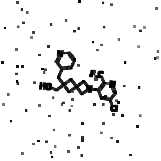 OCC1(Cc2cccnc2)CC2(CN(c3cc(Cl)cnc3C(F)(F)F)C2)C1